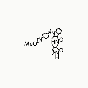 COC1CN(C2CCC([C@@H](C)n3c(C)c(C(=O)NCc4c(C)cc(C)[nH]c4=O)c4ccccc43)CC2)C1